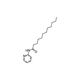 CCCCCCCCCCCC(=O)Nc1ccccn1